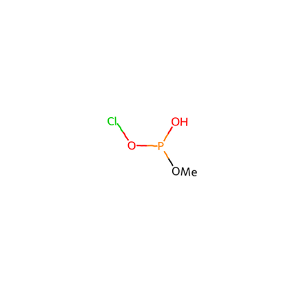 COP(O)OCl